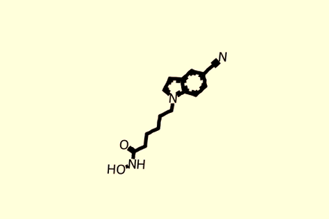 N#Cc1ccc2c(ccn2CCCCCC(=O)NO)c1